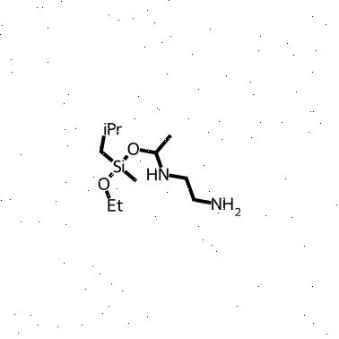 CCO[Si](C)(CC(C)C)OC(C)NCCN